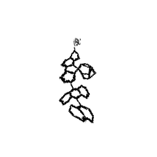 CC(C)(C)c1ccc2c3c(ccc2c1)-c1ccc(-c2c4ccccc4c(-c4cccc5ccccc45)c4ccccc24)cc1C31C2CC3CC(C2)CC1C3